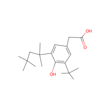 CC(C)(C)CC(C)(C)c1cc(CC(=O)O)cc(C(C)(C)C)c1O